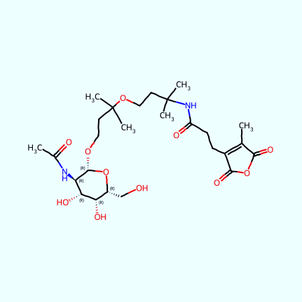 CC(=O)N[C@H]1[C@H](OCCC(C)(C)OCCC(C)(C)NC(=O)CCC2=C(C)C(=O)OC2=O)O[C@H](CO)[C@H](O)[C@@H]1O